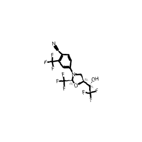 N#Cc1ccc(N2C[C@@H]([C@H](O)C(F)(F)F)O[C@H]2C(F)(F)F)cc1C(F)(F)F